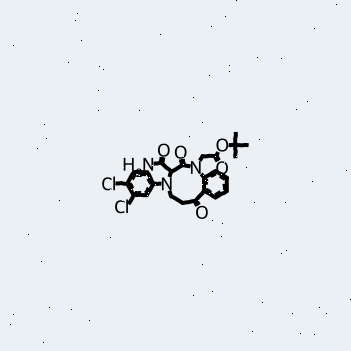 CC(C)(C)OC(=O)CN1C(=O)C(C(N)=O)N(c2ccc(Cl)c(Cl)c2)CCC(=O)c2ccccc21